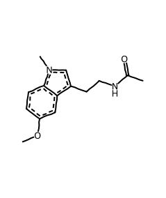 COc1ccc2c(c1)c(CCNC(C)=O)cn2C